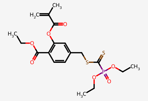 C=C(C)C(=O)Oc1cc(CSC(=S)P(=O)(OCC)OCC)ccc1C(=O)OCC